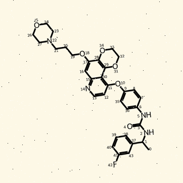 CC(NC(=O)Nc1ccc(Oc2ccnc3cc(OCCCN4CCOCC4)c4c(c23)OCCO4)cc1)c1cccc(F)c1